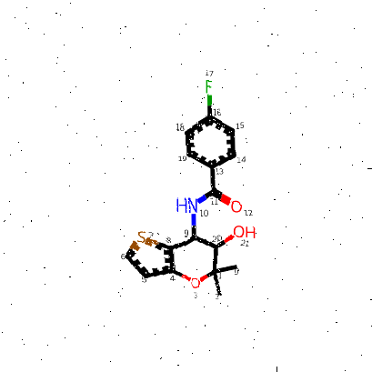 CC1(C)Oc2ccsc2C(NC(=O)c2ccc(F)cc2)C1O